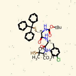 CC(C)(C)OC(=O)N[C@@H](CSC(c1ccccc1)(c1ccccc1)c1ccccc1)C(=O)N[C@H](Cc1ccc(Cl)cc1)C(=O)N[C@@H](C(=O)O)C(C)(C)S